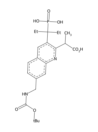 CCC(CC)(c1cc2ccc(CNC(=O)OC(C)(C)C)cc2nc1C(C)C(=O)O)P(=O)(O)O